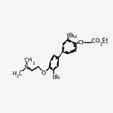 CCOC(=O)COc1ccc(-c2ccc(OCCN(C)C)c(C(C)(C)C)c2)cc1C(C)(C)C